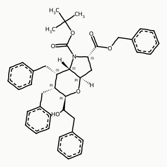 CC(C)(C)OC(=O)N1[C@H]2[C@@H](Cc3ccccc3)[C@@H](Cc3ccccc3)[C@H](C(O)Cc3ccccc3)O[C@@H]2C[C@H]1C(=O)OCc1ccccc1